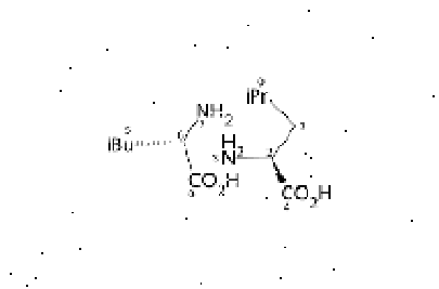 CC(C)C[C@H](N)C(=O)O.CCC(C)[C@H](N)C(=O)O